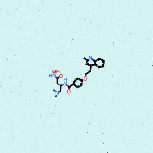 Cc1cc(CCOc2ccc(C(=O)N[C@H](CC(=O)NO)CN(C)C)cc2)c2ccccc2n1